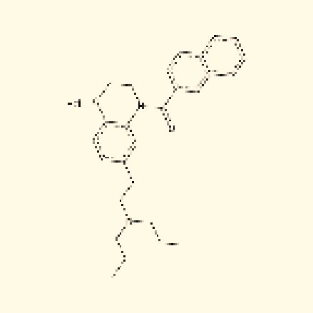 CCCN(CCC)CCc1ccc2c(c1)N(C(=O)c1ccc3ccccc3c1)CCO2.Cl